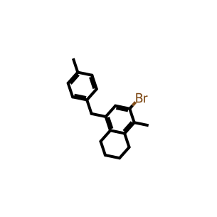 Cc1ccc(Cc2cc(Br)c(C)c3c2CCCC3)cc1